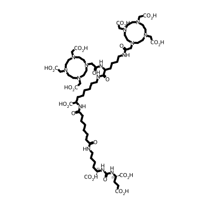 O=C(O)CC[C@H](NC(=O)N[C@@H](CCCCNC(=O)CCCCCCC(=O)NC(CCCCCCNC(=O)C(CCCCNC(=O)CN1CCN(CC(=O)O)CCN(CC(=O)O)CCN(CC(=O)O)CC1)NC(=O)CN1CCN(CC(=O)O)CCN(CC(=O)O)CCN(CC(=O)O)CC1)C(=O)O)C(=O)O)C(=O)O